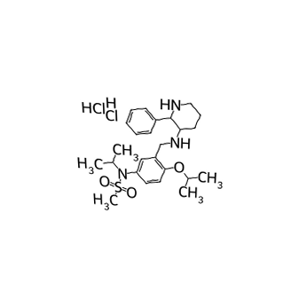 CC(C)Oc1ccc(N(C(C)C)S(C)(=O)=O)cc1CNC1CCCNC1c1ccccc1.Cl.Cl